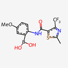 COc1ccc(NC(=O)c2sc(C)nc2C(F)(F)F)c(B(O)O)c1